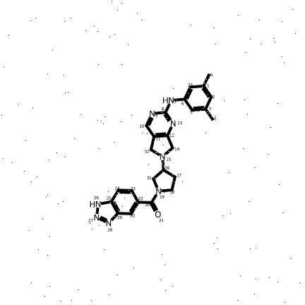 Cc1cc(C)cc(Nc2ncc3c(n2)CN(C2CCN(C(=O)c4ccc5[nH]nnc5c4)C2)C3)c1